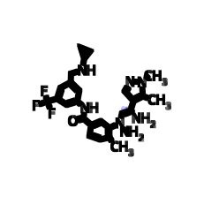 Cc1ccc(C(=O)Nc2cc(CNC3CC3)cc(C(F)(F)F)c2)cc1N(N)/C=C(\N)c1cnn(C)c1C